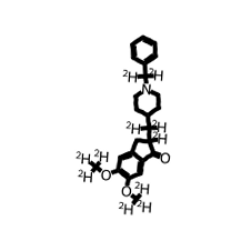 [2H]C([2H])([2H])Oc1cc2c(cc1OC([2H])([2H])[2H])C(=O)C([2H])(C([2H])([2H])C1CCN(C([2H])([2H])c3ccccc3)CC1)C2